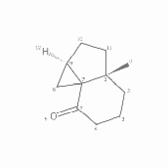 C[C@@]12CCCC(=O)C13C[C@H]3CC2